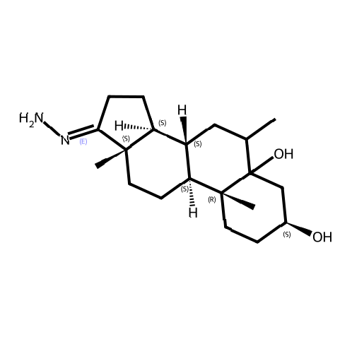 CC1C[C@H]2[C@@H]3CC/C(=N\N)[C@@]3(C)CC[C@@H]2[C@@]2(C)CC[C@H](O)CC12O